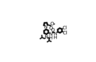 COC(=O)c1cccn1-c1ccc(N(CC(C)C)CC(C)C)c(NC(=O)Nc2ccc(Cl)c(Cl)c2)c1